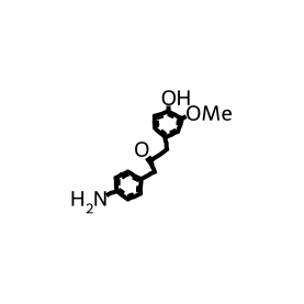 COc1cc(CC(=O)Cc2ccc(N)cc2)ccc1O